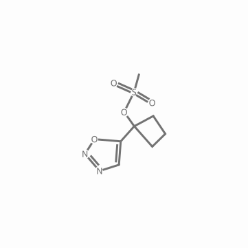 CS(=O)(=O)OC1(c2cnno2)CCC1